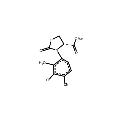 COC(=O)[C@H]1COC(=O)N1c1ccc(C#N)c(Cl)c1C